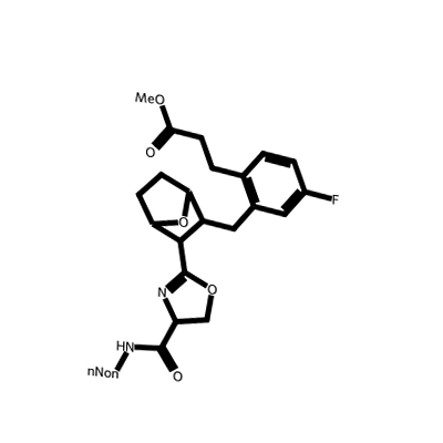 CCCCCCCCCNC(=O)C1COC(C2C3CCC(O3)C2Cc2cc(F)ccc2CCC(=O)OC)=N1